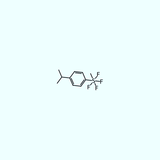 CC(C)c1ccc(S(C)(F)(F)(F)F)cc1